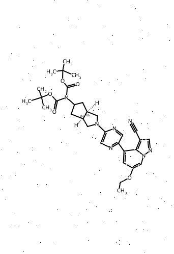 CCOc1cc(-c2cnc(N3C[C@H]4CC(N(C(=O)OC(C)(C)C)C(=O)OC(C)(C)C)C[C@H]4C3)cn2)c2c(C#N)cnn2c1